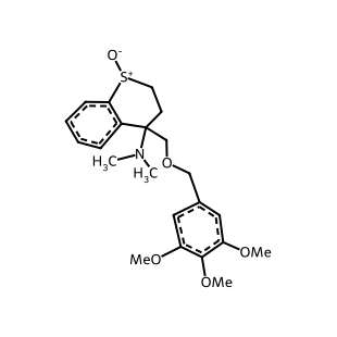 COc1cc(COCC2(N(C)C)CC[S+]([O-])c3ccccc32)cc(OC)c1OC